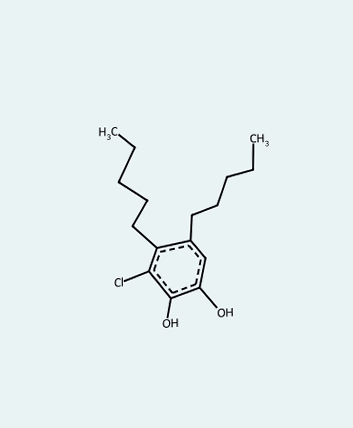 CCCCCc1cc(O)c(O)c(Cl)c1CCCCC